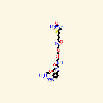 CC1NC(=O)NCSC1CCCCC(=O)NCCOCCOCCNC(=O)CN(CCOCCN)Cc1ccc(N=[N+]=[N-])cc1